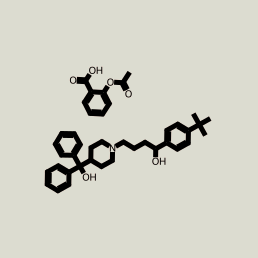 CC(=O)Oc1ccccc1C(=O)O.CC(C)(C)c1ccc(C(O)CCCN2CCC(C(O)(c3ccccc3)c3ccccc3)CC2)cc1